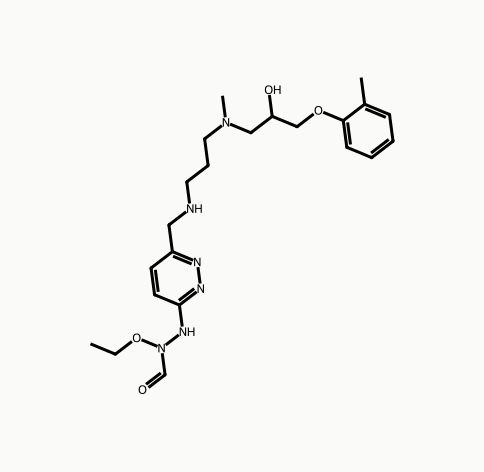 CCON(C=O)Nc1ccc(CNCCCN(C)CC(O)COc2ccccc2C)nn1